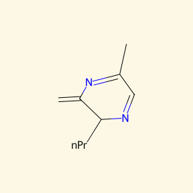 C=C1N=C(C)C=NC1CCC